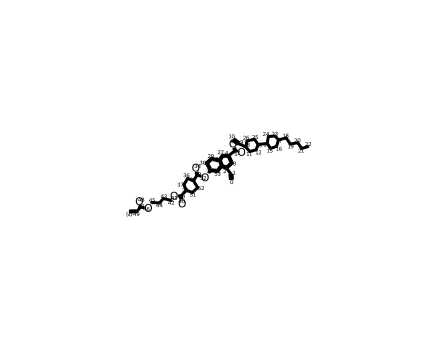 C#Cc1cc(C(=O)OC2(C#C)CCC(C3CCC(CCCCC)CC3)CC2)cc2ccc(OC(=O)C3CCC(C(=O)OCCCCOC(=O)C=C)CC3)cc12